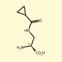 N[C@@H](CNC(=O)C1CC1)C(=O)O